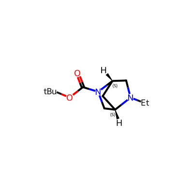 CCN1C[C@@H]2C[C@H]1CN2C(=O)OC(C)(C)C